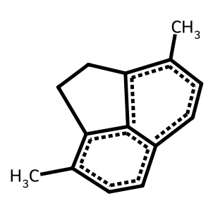 Cc1ccc2ccc(C)c3c2c1CC3